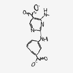 CNc1nc(Nc2cccc([N+](=O)[O-])c2)ncc1[N+](=O)[O-]